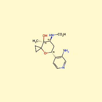 C[C@]1(O)[C@@H](NC(=O)O)C[C@H](c2ccncc2N)OC12CC2